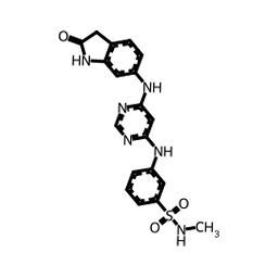 CNS(=O)(=O)c1cccc(Nc2cc(Nc3ccc4c(c3)NC(=O)C4)ncn2)c1